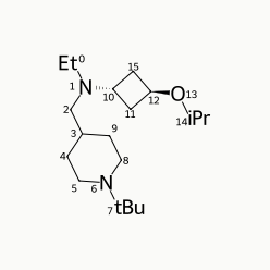 CCN(CC1CCN(C(C)(C)C)CC1)[C@H]1C[C@H](OC(C)C)C1